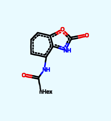 CCCCCCC(=O)Nc1cccc2oc(=O)[nH]c12